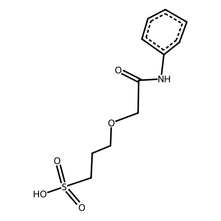 O=C(COCCCS(=O)(=O)O)Nc1ccccc1